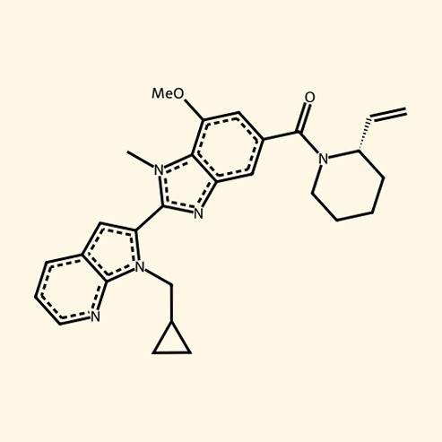 C=C[C@@H]1CCCCN1C(=O)c1cc(OC)c2c(c1)nc(-c1cc3cccnc3n1CC1CC1)n2C